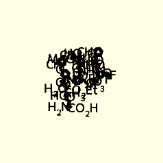 CCOC(=O)C(C)OC(=O)c1cc(Oc2ccc(C(F)(F)F)cc2Cl)ccc1[N+](=O)[O-].COc1nc(C)nc(NC(=O)NS(=O)(=O)c2ccccc2CCC(F)(F)F)n1.CP(=O)(O)CCC(N)C(=O)O.O=C(Nc1nc(OC(F)F)cc(OC(F)F)n1)NS(=O)(=O)c1ccccc1C(=O)O